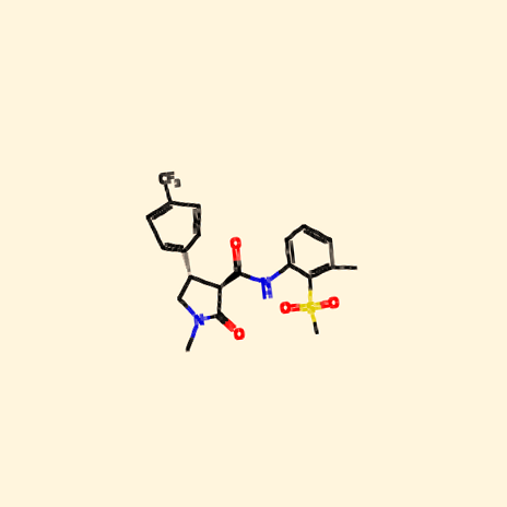 Cc1cccc(NC(=O)[C@H]2C(=O)N(C)C[C@@H]2c2ccc(C(F)(F)F)cc2)c1S(C)(=O)=O